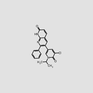 CC(C)n1cc(-c2cc3ccc(=O)[nH]c3nc2-c2ccccc2)cc(Cl)c1=O